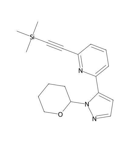 C[Si](C)(C)C#Cc1cccc(-c2ccnn2C2CCCCO2)n1